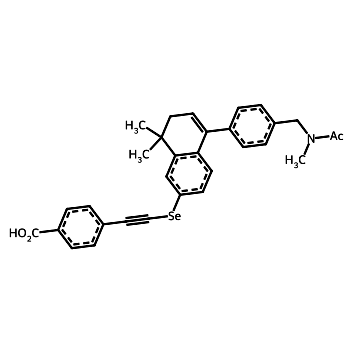 CC(=O)N(C)Cc1ccc(C2=CCC(C)(C)c3cc([Se]C#Cc4ccc(C(=O)O)cc4)ccc32)cc1